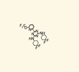 FC1(F)CCC(Nc2nc(NC3CCC(F)(F)CC3)nc(-c3cccc(OC(F)(F)F)n3)n2)CC1